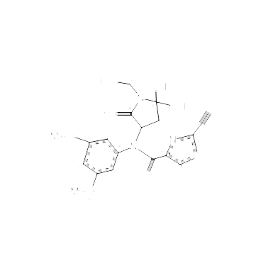 C#Cc1nc(C(=O)N(c2cc(OC)cc(OC)c2)C2CC(C)(C)N(CC(F)(F)F)C2=O)cs1